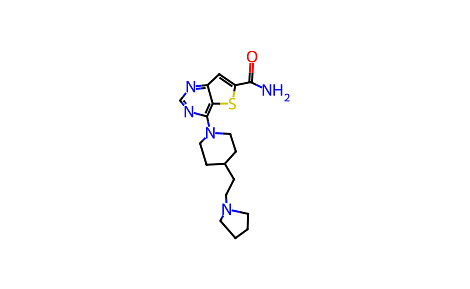 NC(=O)c1cc2ncnc(N3CCC(CCN4CCCC4)CC3)c2s1